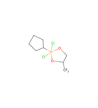 FC(F)(F)C1COP(Cl)(Cl)(C2CCCC2)O1